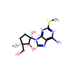 CSc1nc(N)c2ncn([C@]3(O)CC[C@](C)(CO)[C@@H]3O)c2n1